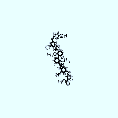 Cc1c(-c2nc3c(Cl)cc(CN4CCC(O)C4)cn3n2)cccc1-c1cccc(-c2nc3cc(CN4CCC(C(=O)O)C4)cc(C#N)c3o2)c1C